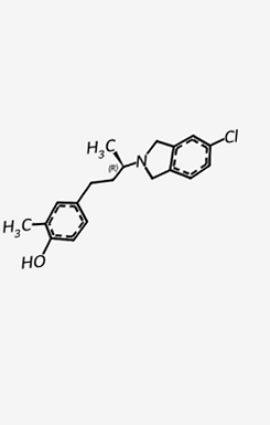 Cc1cc(CC[C@@H](C)N2Cc3ccc(Cl)cc3C2)ccc1O